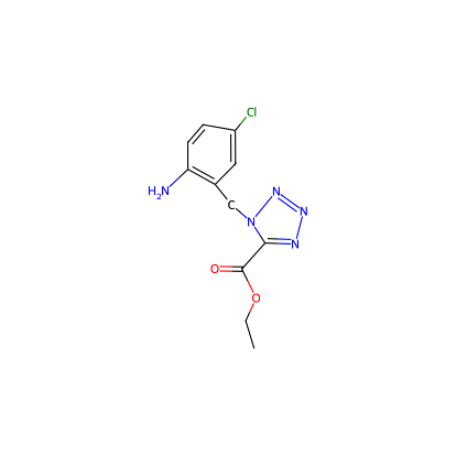 CCOC(=O)c1nnnn1Cc1cc(Cl)ccc1N